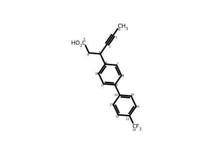 CC#CC(CC(=O)O)c1ccc(-c2ccc(C(F)(F)F)cc2)cc1